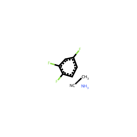 CC#N.Fc1ccc(F)c(F)c1.N